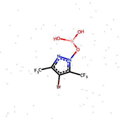 OB(O)On1nc(C(F)(F)F)c(Br)c1C(F)(F)F